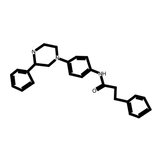 O=C(CCc1ccccc1)Nc1ccc(N2CC[N]C(c3ccccc3)C2)cc1